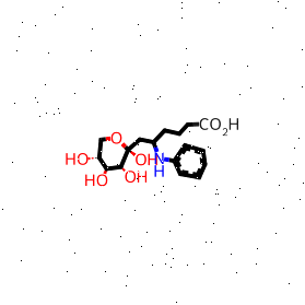 O=C(O)CCCC(C[C@@]1(O)OC[C@@H](O)[C@H](O)[C@H]1O)Nc1ccccc1